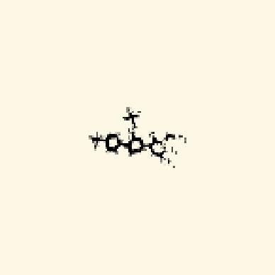 CCOC(=O)C(CC(C)C)c1ccc(-c2ccc(C(F)(F)F)cc2)c(OCC(F)(F)F)c1